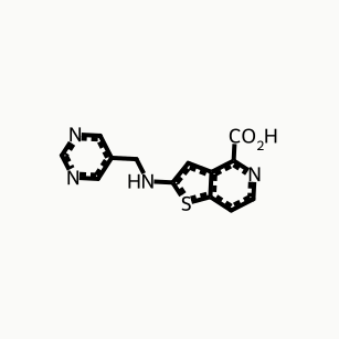 O=C(O)c1nccc2sc(NCc3cncnc3)cc12